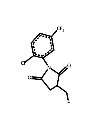 O=C1CC(CF)C(=O)N1c1cc(C(F)(F)F)ccc1Cl